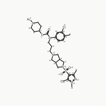 CC(=O)N1CCC(OC(=O)N(CCCN2CC3CN(S(=O)(=O)c4c(C)nn(C)c4Cl)CC3C2)c2ccc(C)c(Cl)c2)CC1